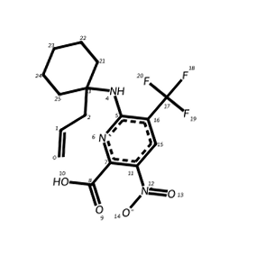 C=CCC1(Nc2nc(C(=O)O)c([N+](=O)[O-])cc2C(F)(F)F)CCCCC1